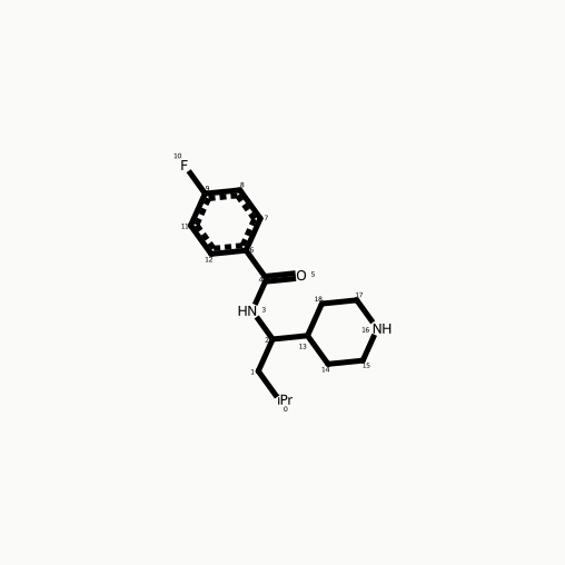 CC(C)CC(NC(=O)c1ccc(F)cc1)C1CCNCC1